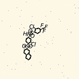 O=S(=O)(Nc1ccc(S(=O)(=O)c2ccc3ccccc3c2)c(Cl)c1)c1ccc(C(F)(F)F)cc1Cl